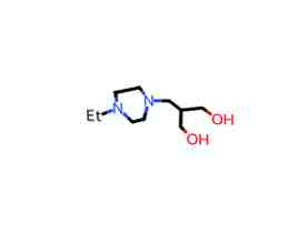 CCN1CCN(CC(CO)CO)CC1